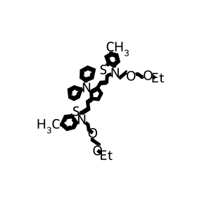 CCOCCOCCN1/C(=C/C=C2\CCC(/C=C/C3Sc4cc(C)ccc4N3CCOCCOCC)=C2N(c2ccccc2)c2ccccc2)Sc2cc(C)ccc21